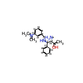 C[C@@H](O)[C@@H](N)C(NCc1cccc(N(C)C)c1)c1ccccc1